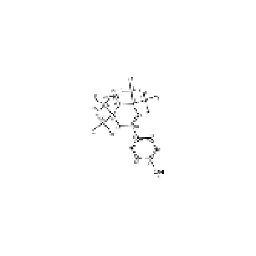 CC(C)(C)C1(C(C)(C)C)C=C(c2ccc(O)cc2)CC(C(C)(C)C)(C(C)(C)C)C1O